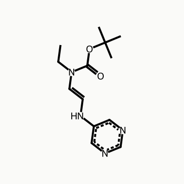 CCN(/C=C/Nc1cncnc1)C(=O)OC(C)(C)C